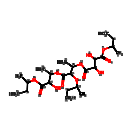 CCOC(=O)CC(C)OC(=O)C(O)C(O)C(=O)OC(C(=O)O)C(OC(C)CC(=O)OCC)C(=O)OC(C(=O)O)C(O)C(=O)OC(C)CC(=O)OCC